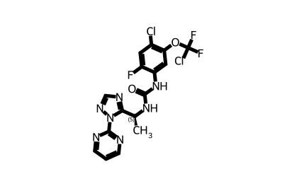 C[C@H](NC(=O)Nc1cc(OC(F)(F)Cl)c(Cl)cc1F)c1ncnn1-c1ncccn1